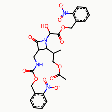 CC(=O)OCC(C)C1C(CNC(=O)OCc2ccccc2[N+](=O)[O-])C(=O)N1C(O)C(=O)OCc1ccccc1[N+](=O)[O-]